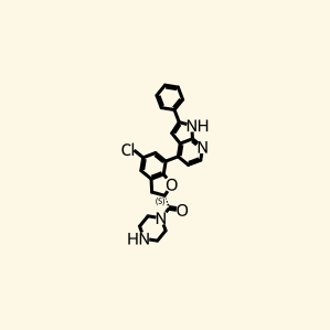 O=C([C@@H]1Cc2cc(Cl)cc(-c3ccnc4[nH]c(-c5ccccc5)cc34)c2O1)N1CCNCC1